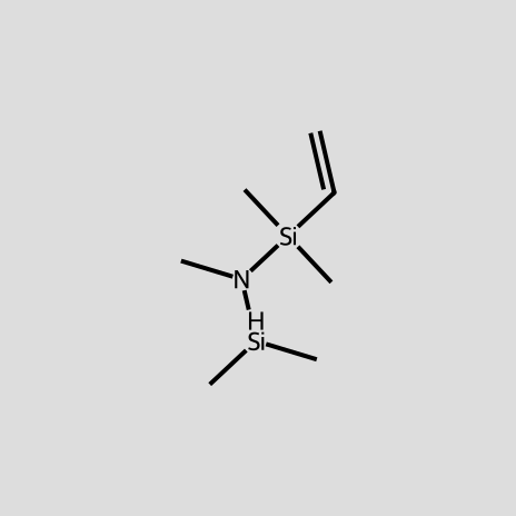 C=C[Si](C)(C)N(C)[SiH](C)C